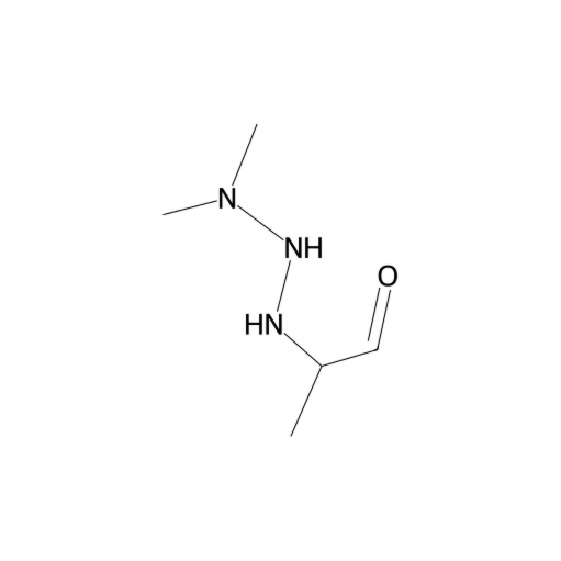 CC(C=O)NNN(C)C